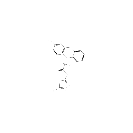 Cc1nnc(NC(=O)C(C)(C)[C@H]2c3ccccc3Oc3nc(Cl)ccc32)s1